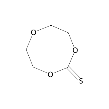 S=C1OCCOCCO1